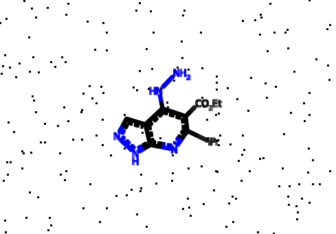 CCOC(=O)c1c(C(C)C)nc2[nH]ncc2c1NN